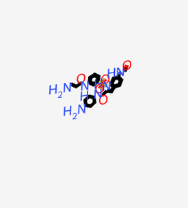 NCCC(=O)Nc1cccc(S(=O)(=O)n2c(C(=O)N[C@H]3CC[C@H](N)CC3)cc3ccc(NC=O)cc32)c1